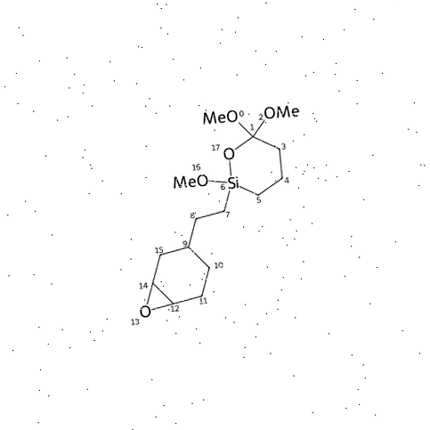 COC1(OC)CCC[Si](CCC2CCC3OC3C2)(OC)O1